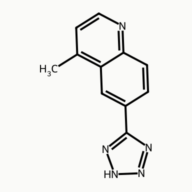 Cc1ccnc2ccc(-c3nn[nH]n3)cc12